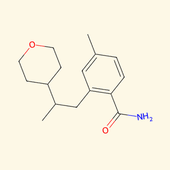 Cc1ccc(C(N)=O)c(CC(C)C2CCOCC2)c1